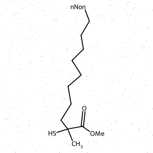 CCCCCCCCCCCCCCCCCC(C)(S)C(=O)OC